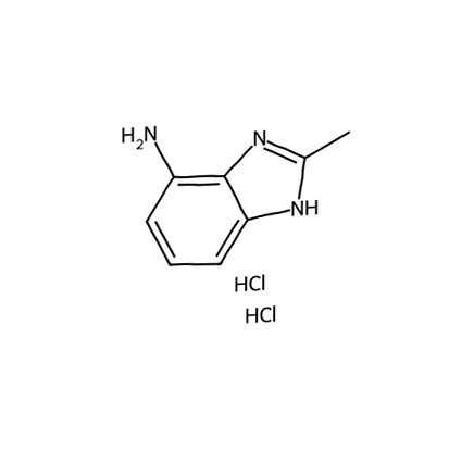 Cc1nc2c(N)cccc2[nH]1.Cl.Cl